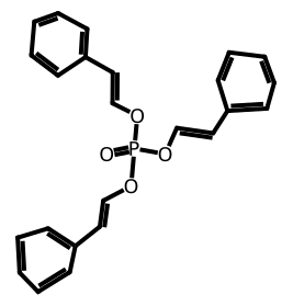 O=P(OC=Cc1ccccc1)(OC=Cc1ccccc1)OC=Cc1ccccc1